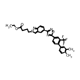 CCOC(=O)CCCn1cc2cc(-c3noc(-c4ccc(-c5ccc(C)c(C)c5)c(C(F)(F)F)c4)n3)ccc2n1